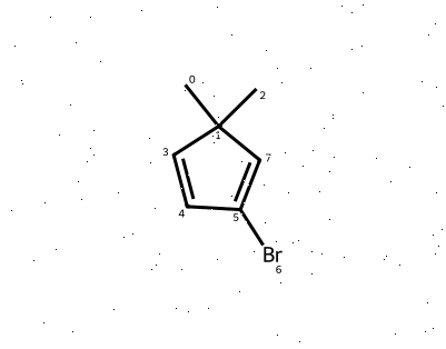 CC1(C)C=CC(Br)=C1